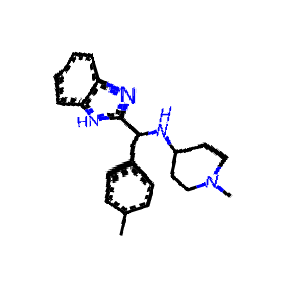 Cc1ccc(C(NC2CCN(C)CC2)c2nc3ccccc3[nH]2)cc1